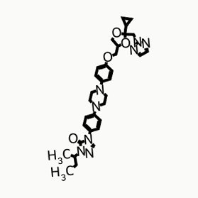 CCC(C)n1ncn(-c2ccc(N3CCN(c4ccc(OCC5COC(Cn6nccn6)(C6CC6)O5)cc4)CC3)cc2)c1=O